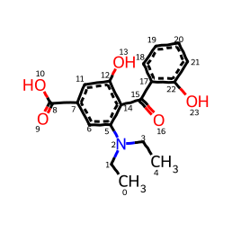 CCN(CC)c1cc(C(=O)O)cc(O)c1C(=O)c1ccccc1O